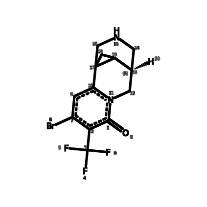 O=c1c(C(F)(F)F)c(Br)cc2n1C[C@@H]1CNCC23CC13